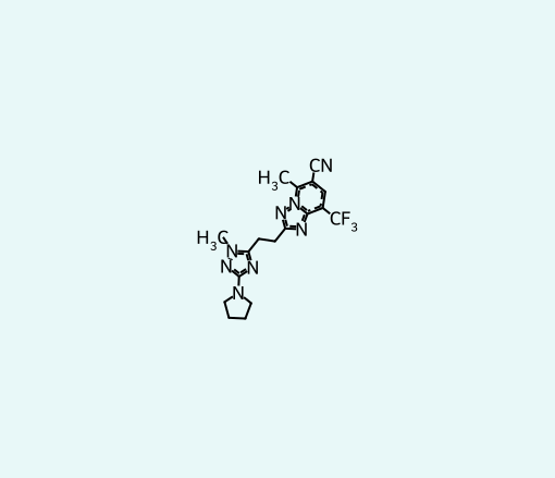 Cc1c(C#N)cc(C(F)(F)F)c2nc(CCc3nc(N4CCCC4)nn3C)nn12